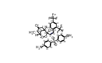 C[C@@H]1C(=O)C[C@H]2C[C@@H]1OO[C@@]2(C)/C=C\c1ccc(C(F)(F)F)cc1C(F)(F)F.Nc1ccc(S(=O)(=O)c2ccc(N)cc2)cc1